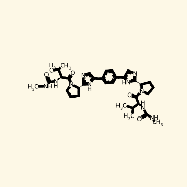 CNC(=O)N[C@H](C(=O)N1CCC[C@H]1c1ncc(-c2ccc(-c3cnc([C@@H]4CCCN4C(=O)[C@@H](NC(=O)NC)C(C)C)[nH]3)cc2)[nH]1)C(C)C